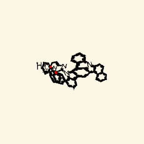 CC1C/C=C(n2c3ccccc3c3ccccc32)/N=C(/n2c3ccccc3c3cc4c5c6ccccc6ccc5n5c6ccccc6c(c32)c45)c2ccccc21